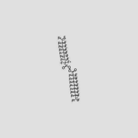 O=C(OOC(=O)C(F)(F)C(F)(F)C(F)(F)C(F)(F)C(F)(F)C(F)(F)C(F)(F)C(F)F)C(F)(F)C(F)(F)C(F)(F)C(F)(F)C(F)(F)C(F)(F)C(F)(F)C(F)F